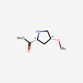 CCCCO[C@H]1CN[C@@H](C(=O)OC)C1